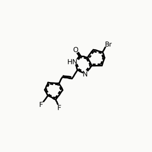 O=c1[nH]c(C=Cc2ccc(F)c(F)c2)nc2ccc(Br)cc12